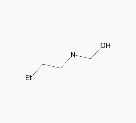 CCCC[N]CO